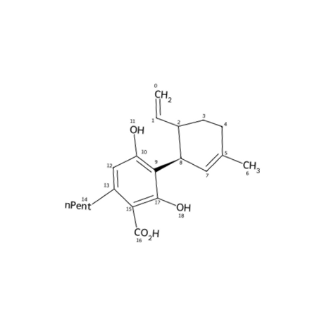 C=CC1CCC(C)=C[C@H]1c1c(O)cc(CCCCC)c(C(=O)O)c1O